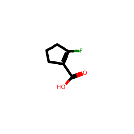 O=C(O)C1=C(F)CCC1